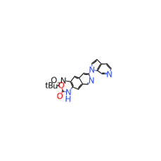 CC(C)(C)OC(=O)Nc1cc2cnc(-n3ccc4ccncc43)cc2cc1[N+](=O)[O-]